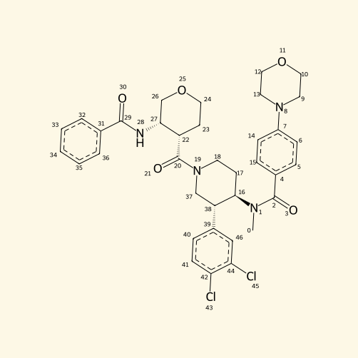 CN(C(=O)c1ccc(N2CCOCC2)cc1)[C@@H]1CCN(C(=O)[C@H]2CCOC[C@H]2NC(=O)c2ccccc2)C[C@H]1c1ccc(Cl)c(Cl)c1